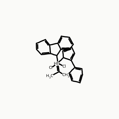 C[C](C)=[Hf]([Cl])([Cl])([CH]1C=CC=C1c1ccccc1)[CH]1c2ccccc2-c2ccccc21